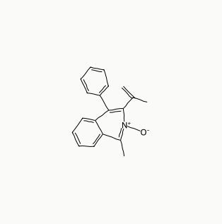 C=C(C)c1c(-c2ccccc2)c2ccccc2c(C)[n+]1[O-]